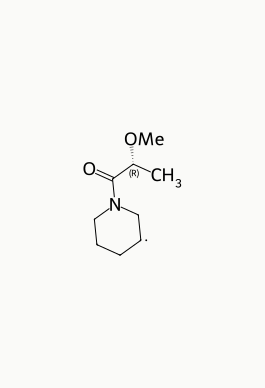 CO[C@H](C)C(=O)N1C[CH]CCC1